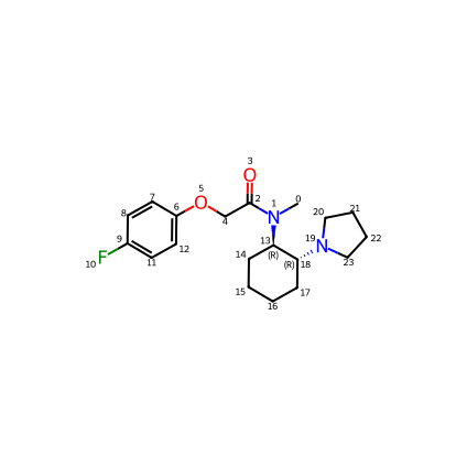 CN(C(=O)COc1ccc(F)cc1)[C@@H]1CCCC[C@H]1N1CCCC1